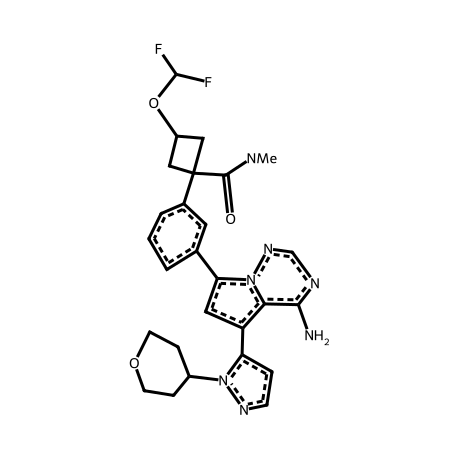 CNC(=O)C1(c2cccc(-c3cc(-c4ccnn4C4CCOCC4)c4c(N)ncnn34)c2)CC(OC(F)F)C1